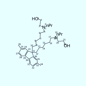 CCCN(CCO)CCCCCCC1(CCCCCCN(CCC)CCO)c2cc(C)ccc2-c2ccc(C)cc21